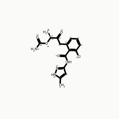 Cc1cc(NC(=O)c2c(Cl)cccc2CC(=O)[C@H](C)OC(N)=O)n[nH]1